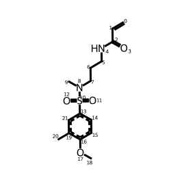 C=CC(=O)NCCCN(C)S(=O)(=O)c1ccc(OC)c(C)c1